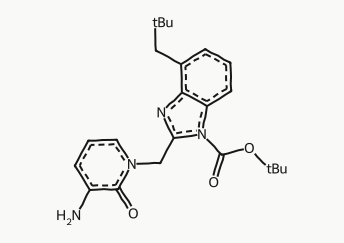 CC(C)(C)Cc1cccc2c1nc(Cn1cccc(N)c1=O)n2C(=O)OC(C)(C)C